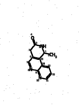 CC1NC(=O)Cc2cnc3ncccc3c21